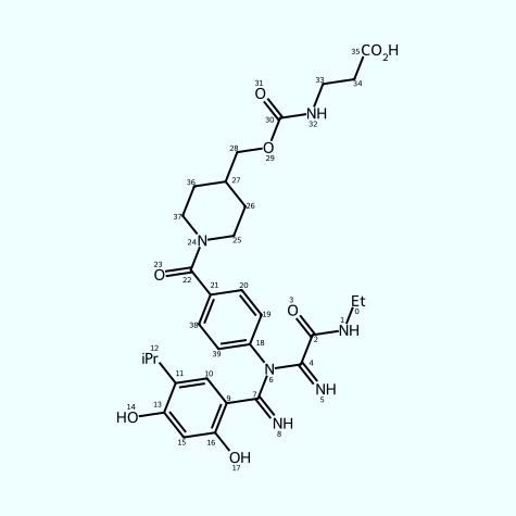 CCNC(=O)C(=N)N(C(=N)c1cc(C(C)C)c(O)cc1O)c1ccc(C(=O)N2CCC(COC(=O)NCCC(=O)O)CC2)cc1